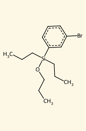 CCCO[Si](CCC)(CCC)c1cccc(Br)c1